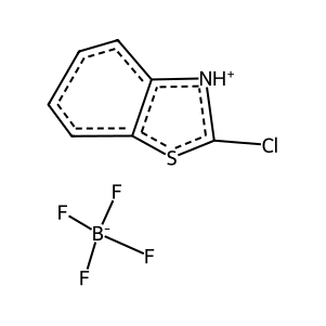 Clc1[nH+]c2ccccc2s1.F[B-](F)(F)F